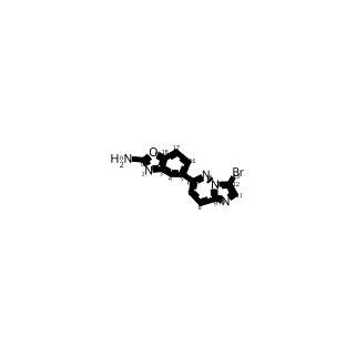 Nc1nc2cc(-c3ccc4ncc(Br)n4n3)ccc2o1